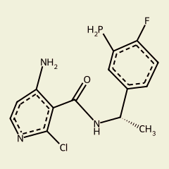 C[C@H](NC(=O)c1c(N)ccnc1Cl)c1ccc(F)c(P)c1